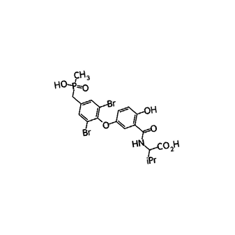 CC(C)C(NC(=O)c1cc(Oc2c(Br)cc(CP(C)(=O)O)cc2Br)ccc1O)C(=O)O